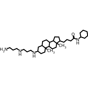 CC12CCC3C(CCC4CC(NCCCNCCCN)CCC43C)C1CCC2CCCC(=O)NC1CCCCC1